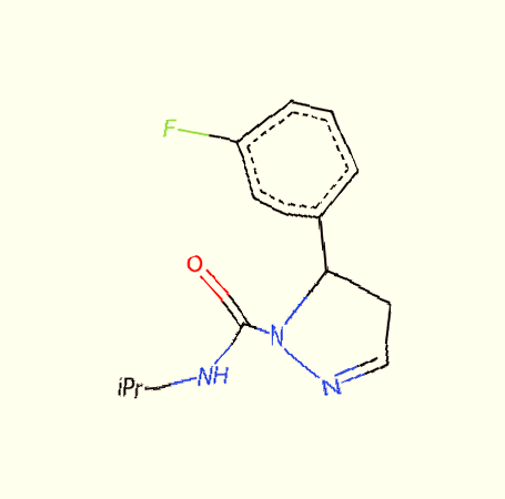 CC(C)NC(=O)N1N=CCC1c1cccc(F)c1